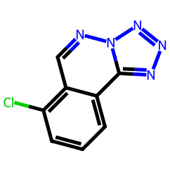 Clc1cccc2c1cnn1nnnc21